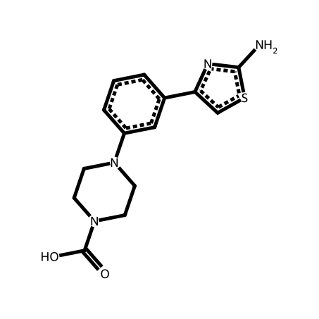 Nc1nc(-c2cccc(N3CCN(C(=O)O)CC3)c2)cs1